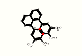 COc1ccc(-c2cccc3cccc(-c4ccc(OC)c(C=O)c4)c23)cc1C=O